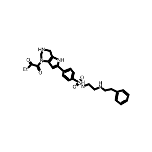 CCC(=O)C(=O)N1CNCc2[nH]c(-c3ccc(S(=O)(=O)NCCNCCc4ccccc4)cc3)cc21